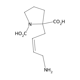 NC/C=C\CC1(C(=O)O)CCCN1C(=O)O